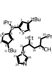 CC(C)B(c1cc(C(C)(C)C)cs1)c1cc(C(C)(C)C)cs1.CCC(CC(C)CC(C)C)Cn1ccnc1